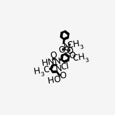 COc1cc(Cl)c(-n2c(=O)[nH]c3c(C)cc(C(=O)O)nc32)cc1S(=O)(=O)N(C)Cc1ccccc1